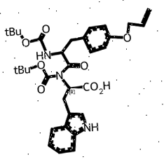 C=CCOc1ccc(CC(NC(=O)OC(C)(C)C)C(=O)N(C(=O)OC(C)(C)C)[C@H](Cc2c[nH]c3ccccc23)C(=O)O)cc1